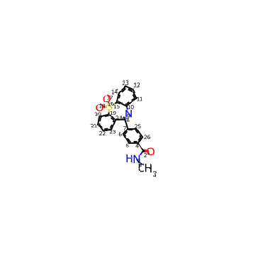 CNC(=O)c1ccc(C2=Nc3ccccc3S(=O)(=O)c3ccccc32)cc1